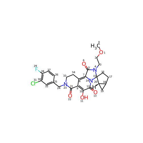 COCCN1C(=O)c2c3c(c(O)c(=O)n2C12CCC1C[C@@H]12)C(=O)N(Cc1ccc(F)c(Cl)c1)CC3